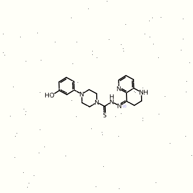 Oc1cccc(N2CCN(C(=S)N/N=C3/CCNc4cccnc43)CC2)c1